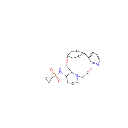 O=S(=O)(NC1CCCN2CCOc3ncccc3C3CCC(CC3)OCC12)C1CC1